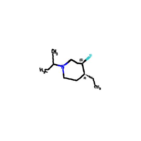 CC[C@@H]1CCN(C(C)C)C[C@H]1F